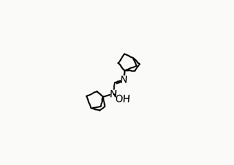 ON(C=NC12CCC(CC1)C2)C12CCC(CC1)C2